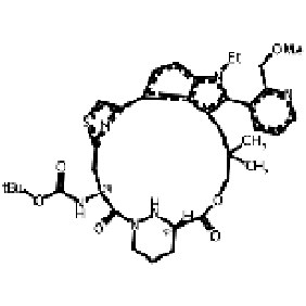 CCn1c(-c2cccnc2COC)c2c3cc(ccc31)-c1csc(n1)C[C@H](NC(=O)OC(C)(C)C)C(=O)N1CCC[C@H](N1)C(=O)OCC(C)(C)C2